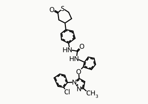 Cc1cc(Oc2ccccc2NC(=O)Nc2ccc(C3CCSC(=O)C3)cc2)n(-c2ccccc2Cl)n1